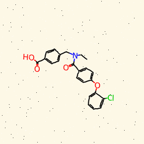 CCN(Cc1ccc(C(=O)O)cc1)C(=O)c1ccc(Oc2ccccc2Cl)cc1